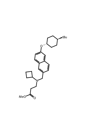 COC(=O)CCN(Cc1ccc2cc(O[C@H]3CC[C@H](C(C)(C)C)CC3)ccc2c1)C1CCC1